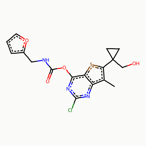 Cc1c(C2(CO)CC2)sc2c(OC(=O)NCc3ccco3)nc(Cl)nc12